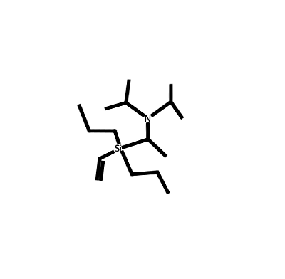 C=C[Si](CCC)(CCC)C(C)N(C(C)C)C(C)C